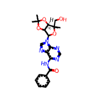 CC1(C)OC2C(n3cnc4c(NC(=O)c5ccccc5)ncnc43)OC(C)(CO)[C@@H]2O1